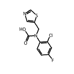 O=C(O)N(Cc1cncs1)c1ccc(F)cc1Cl